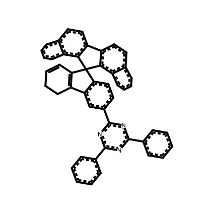 C1=CC2=C(CC1)c1cc(-c3nc(-c4ccccc4)nc(-c4ccccc4)n3)ccc1C21c2c(ccc3ccccc23)-c2ccc3ccccc3c21